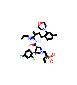 C=C/C(=C\N1C[C@@H](C(=O)N/C(=N/C=C\C)C(=C)CCc2ccc(C)cc2N2CCOCC2)[C@H](c2ccc(F)cc2F)C1)[SH](=O)=O